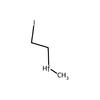 [CH3][Hf][CH2]CI